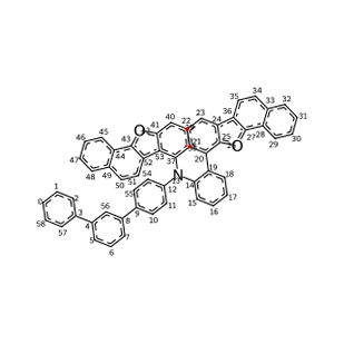 c1ccc(-c2cccc(-c3ccc(N(c4ccccc4-c4cccc5c4oc4c6ccccc6ccc54)c4cccc5oc6c7ccccc7ccc6c45)cc3)c2)cc1